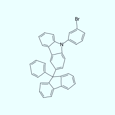 Brc1cccc(-n2c3ccccc3c3cc(C4(c5ccccc5)c5ccccc5-c5ccccc54)ccc32)c1